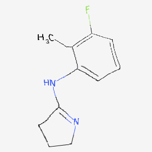 Cc1c(F)cccc1NC1=NCCC1